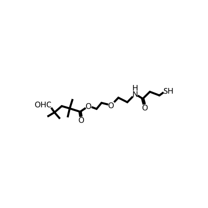 CC(C)(C=O)CC(C)(C)C(=O)OCCOCCNC(=O)CCS